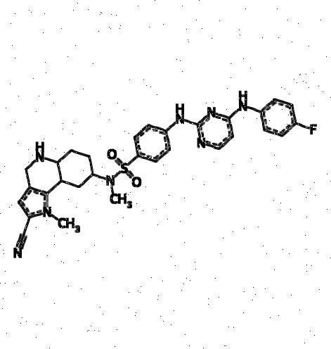 CN(C1CCC2NCc3cc(C#N)n(C)c3C2C1)S(=O)(=O)c1ccc(Nc2nccc(Nc3ccc(F)cc3)n2)cc1